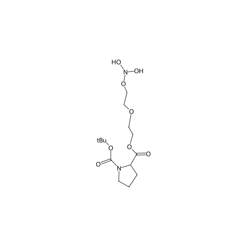 CC(C)(C)OC(=O)N1CCCC1C(=O)OCCOCCON(O)O